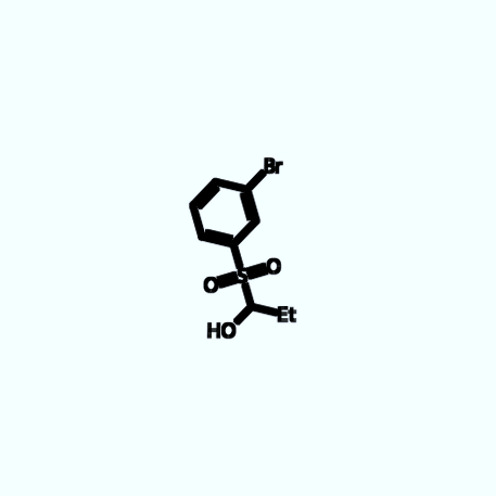 CCC(O)S(=O)(=O)c1cccc(Br)c1